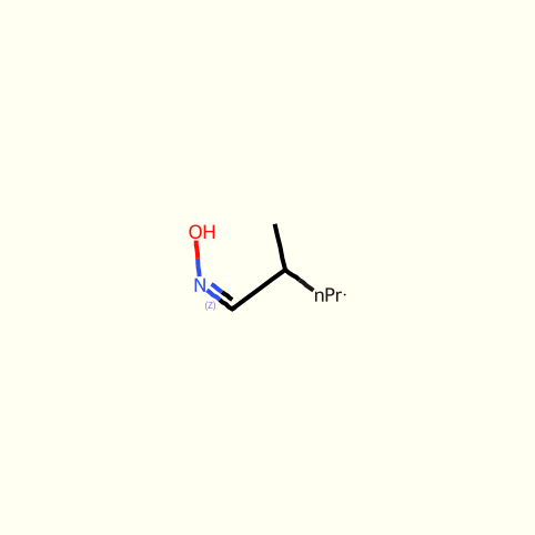 CC[CH]C(C)/C=N\O